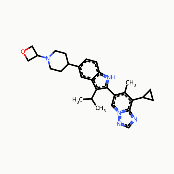 Cc1c(-c2[nH]c3ccc(C4CCN(C5COC5)CC4)cc3c2C(C)C)cn2ncnc2c1C1CC1